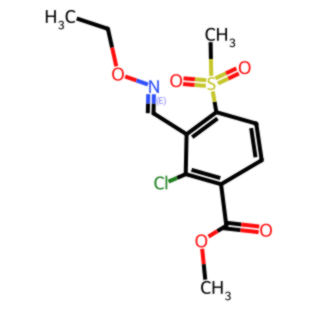 CCO/N=C/c1c(S(C)(=O)=O)ccc(C(=O)OC)c1Cl